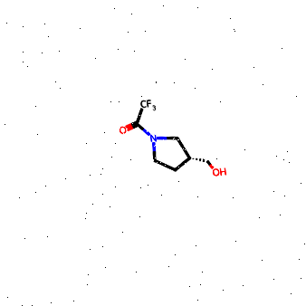 O=C(N1CC[C@@H](CO)C1)C(F)(F)F